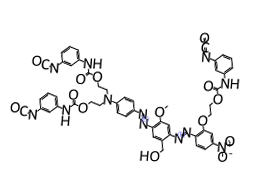 COc1cc(/N=N/c2ccc([N+](=O)[O-])cc2OCCOC(=O)Nc2cccc(N=C=O)c2)c(CO)cc1/N=N/c1ccc(N(CCOC(=O)Nc2cccc(N=C=O)c2)CCOC(=O)Nc2cccc(N=C=O)c2)cc1